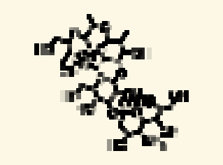 CC1C(O)[C@H](O[C@@H]2OC(CO)[C@H](O)C(O[C@]3(C(=O)O)C[C@@H](O)[C@@H](N)C([C@H](O)C(O)CO)O3)[C@@H]2O)[C@H](CO)O[C@H]1O[C@H](C)[C@@H](C)OC(CO)[C@@H](O)CO